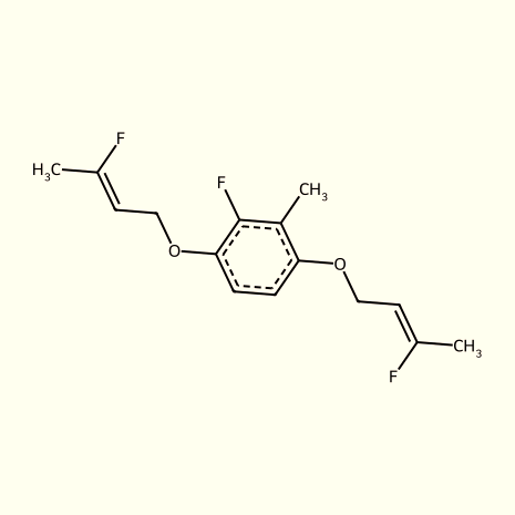 C/C(F)=C/COc1ccc(OC/C=C(/C)F)c(F)c1C